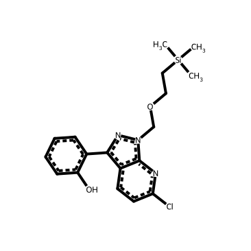 C[Si](C)(C)CCOCn1nc(-c2ccccc2O)c2ccc(Cl)nc21